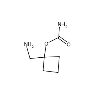 NCC1(OC(N)=O)CCC1